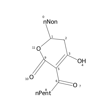 CCCCCCCCCC1CC(O)=C(C(=O)CCCCC)C(=O)O1